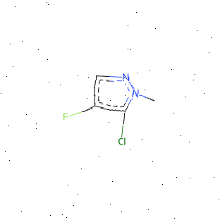 Cn1ncc(F)c1Cl